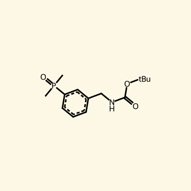 CC(C)(C)OC(=O)NCc1cccc(P(C)(C)=O)c1